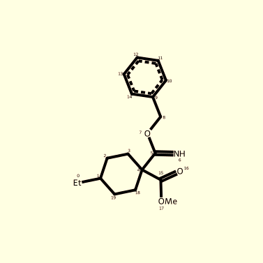 CCC1CCC(C(=N)OCc2ccccc2)(C(=O)OC)CC1